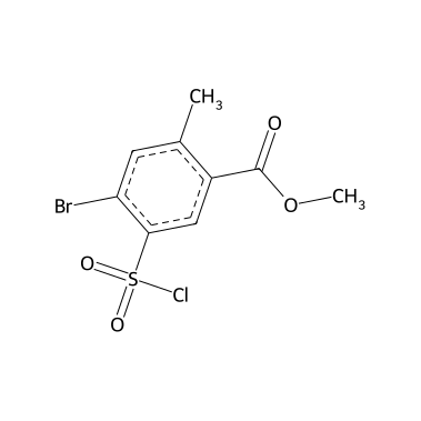 COC(=O)c1cc(S(=O)(=O)Cl)c(Br)cc1C